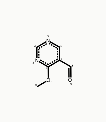 COc1ncncc1C=O